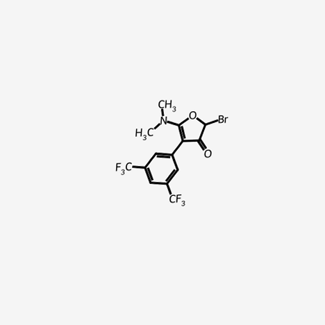 CN(C)C1=C(c2cc(C(F)(F)F)cc(C(F)(F)F)c2)C(=O)C(Br)O1